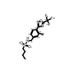 CCCCS(=O)(=O)NCc1ccc(-c2noc(C(F)(F)F)n2)c(F)c1